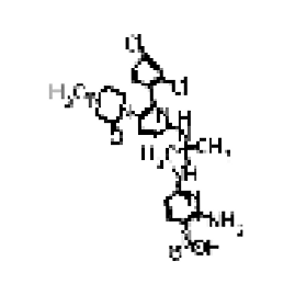 CN1CCN(c2ccc(NC(C)(C)CNc3ccc([NH+]([O-])O)c(N)n3)nc2-c2ccc(Cl)cc2Cl)C(=O)C1